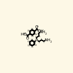 NCCCP(CCCN)c1ccccc1.O=C(O)c1ccc(C(=O)O)cc1